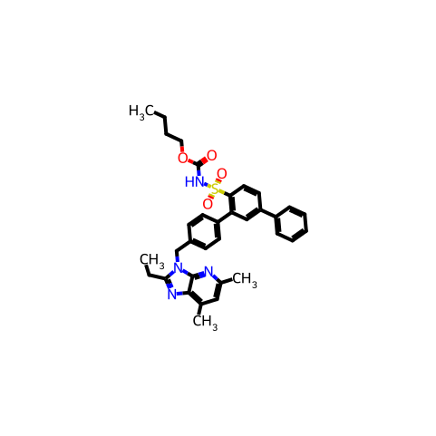 CCCCOC(=O)NS(=O)(=O)c1ccc(-c2ccccc2)cc1-c1ccc(Cn2c(CC)nc3c(C)cc(C)nc32)cc1